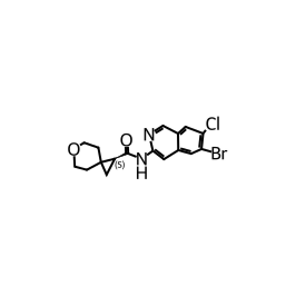 O=C(Nc1cc2cc(Br)c(Cl)cc2cn1)[C@H]1CC12CCOCC2